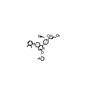 COC/C=C/C(O)N1CCN(c2nc(OC[C@@H]3CCCN3C)nc3c2CCN(c2cccc(C)c2C)C3)C[C@@H]1CC#N